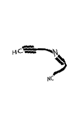 C#C/N=C\C#N